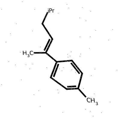 C/C(=C\CC(C)C)c1ccc(C)cc1